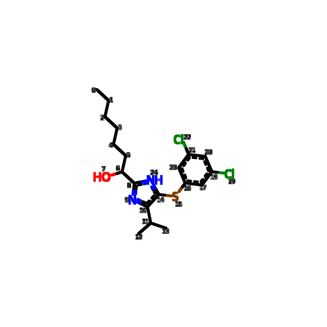 CCCCCCC(O)c1nc(C(C)C)c(Sc2cc(Cl)cc(Cl)c2)[nH]1